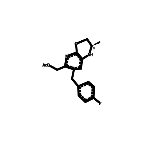 CC(=O)OCc1nc2c(cc1Cc1ccc(F)cc1)N[C@@H](C)CO2